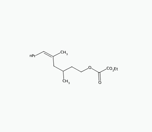 CCCC=C(C)CC(C)CCOC(=O)C(=O)OCC